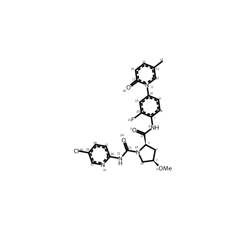 CO[C@@H]1C[C@H](C(=O)Nc2ccc(-n3cc(C)ccc3=O)cc2F)N(C(=O)Nc2ccc(Cl)cn2)C1